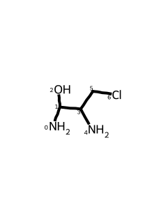 NC(O)C(N)CCl